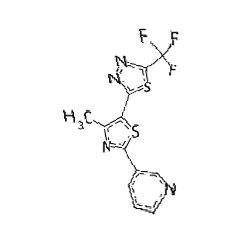 Cc1nc(-c2cccnc2)sc1-c1nnc(C(F)(F)F)s1